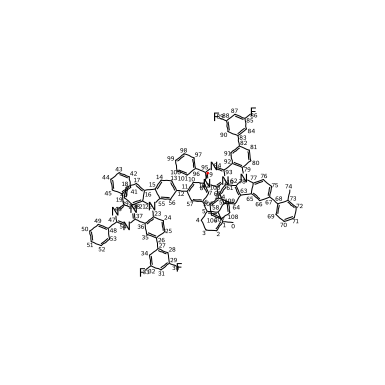 CC1=CCCC(c2cc(C)cc(-c3ccc4c5ccccc5n(-c5ccc(-c6cc(F)cc(F)c6)cc5-c5nc(-c6ccccc6)nc(-c6ccccc6)n5)c4c3)c2)=C1c1ccc2c(c1)c1cc(-c3ccccc3C)ccc1n2-c1ccc(-c2cc(F)cc(F)c2)cc1-c1nc(-c2ccccc2)nc(-c2ccccc2)n1